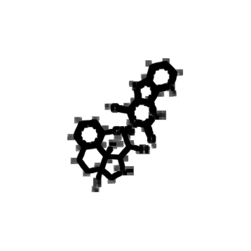 CCC(Cn1c(=O)[nH]c2c(sc3cccnc32)c1=O)C1NC[C@@H]2CCc3cccc(OC)c3[C@H]12